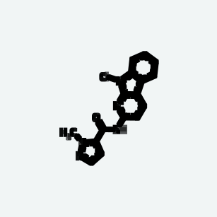 Cn1nccc1C(=O)Nc1ccc2c3ccccc3n(Cl)c2n1